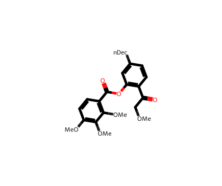 CCCCCCCCCCc1ccc(C(=O)COC)c(OC(=O)c2ccc(OC)c(OC)c2OC)c1